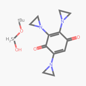 CC(C)(C)O[SiH2]O.O=C1C=C(N2CC2)C(=O)C(N2CC2)=C1N1CC1